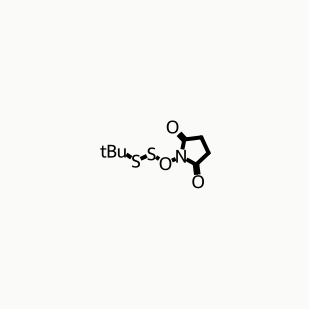 CC(C)(C)SSON1C(=O)CCC1=O